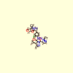 CC(C)n1nccc1C(=O)N[C@H](C(=O)Nc1ccc([C@H](C)C(=O)NC(C2CCOC2)C(F)(F)F)cc1F)C(C1CC1)C1CC1